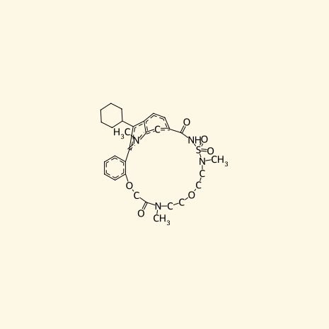 CN1CCOCCN(C)S(=O)(=O)NC(=O)c2ccc3c(C4CCCCC4)c(n(C)c3c2)-c2ccccc2OCC1=O